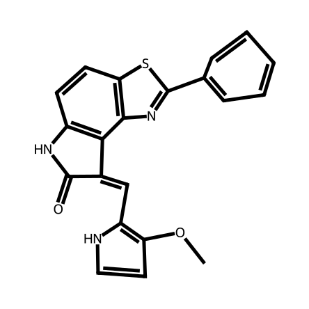 COc1cc[nH]c1C=C1C(=O)Nc2ccc3sc(-c4ccccc4)nc3c21